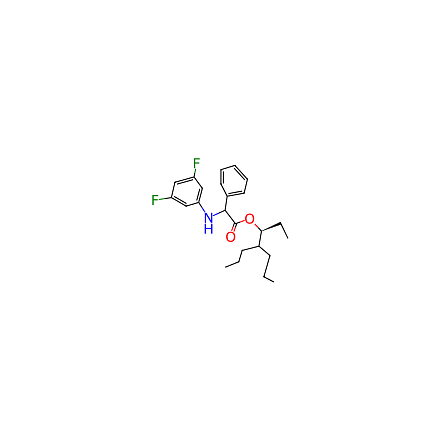 CCCC(CCC)[C@H](CC)OC(=O)C(Nc1cc(F)cc(F)c1)c1ccccc1